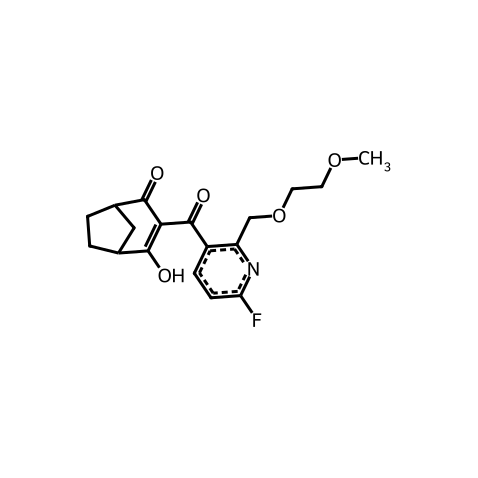 COCCOCc1nc(F)ccc1C(=O)C1=C(O)C2CCC(C2)C1=O